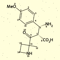 COc1ccc([C@H](N)[C@H](C(=O)O)C(=O)C2(C)CCN2)cc1